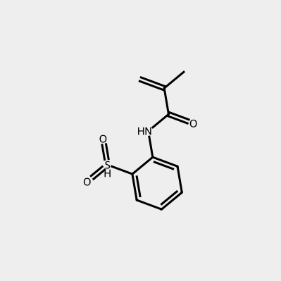 C=C(C)C(=O)Nc1ccccc1[SH](=O)=O